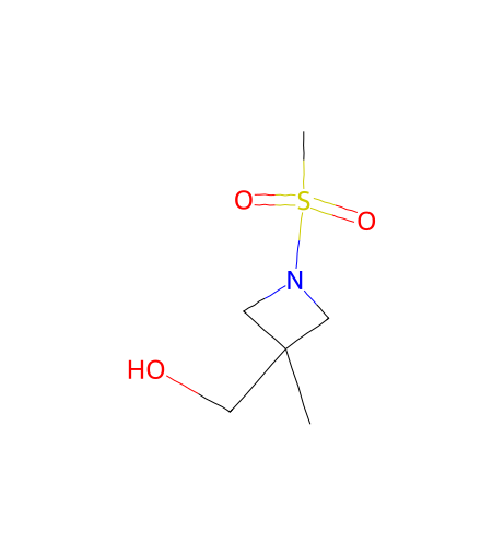 CC1(CO)CN(S(C)(=O)=O)C1